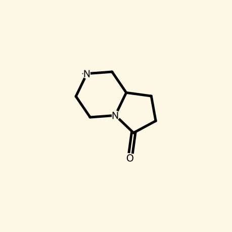 O=C1CCC2C[N]CCN12